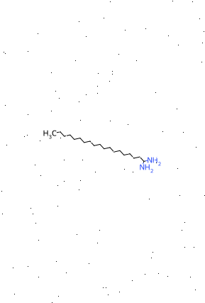 CCCCCCCCCCCCCCCCCCC(N)N